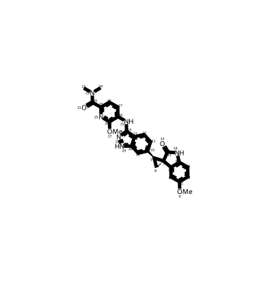 COc1ccc2c(c1)[C@]1(C[C@H]1c1ccc3c(Nc4ccc(C(=O)N(C)C)nc4OC)n[nH]c3c1)C(=O)N2